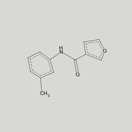 Cc1cccc(NC(=O)c2ccoc2)c1